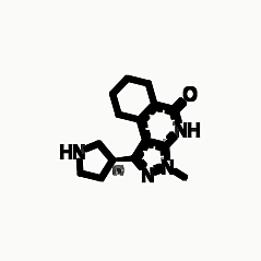 Cn1nc([C@H]2CCNC2)c2c3c(c(=O)[nH]c21)CCCC3